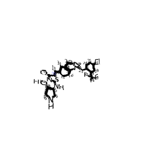 O=C1N=C(NC2CNC[C@H]2O)S/C1=C\c1ccc2c(cnn2Cc2ccc(Cl)cc2C(F)(F)F)c1